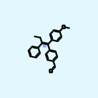 CC/C(=C(/c1ccc(C=O)cc1)c1ccc(OC)cc1)c1ccccc1